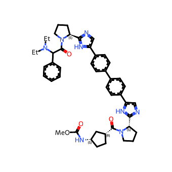 CCN(CC)C(C(=O)N1CCC[C@H]1c1ncc(-c2ccc(-c3ccc(-c4cnc([C@@H]5CCCN5C(=O)[C@@H]5CC[C@H](NC(=O)OC)C5)[nH]4)cc3)cc2)[nH]1)c1ccccc1